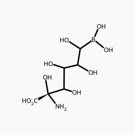 N[C@@](O)(C(=O)O)C(O)C(O)C(O)C(O)B(O)O